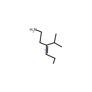 CC/C=C(/CCN)C(C)C